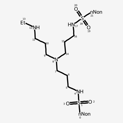 CCCCCCCCCS(=O)(=O)NCCCN(CCCNCC)CCCNS(=O)(=O)CCCCCCCCC